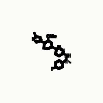 COc1cc(-c2ccc(N[C@H](C)c3ccc(F)cc3)nn2)ccc1-n1cnc(C)c1